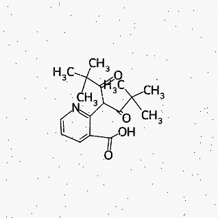 CC(C)(C)C(=O)C(C(=O)C(C)(C)C)c1ncccc1C(=O)O